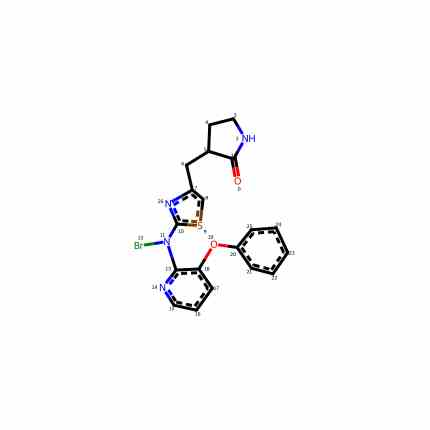 O=C1NCCC1Cc1csc(N(Br)c2ncccc2Oc2ccccc2)n1